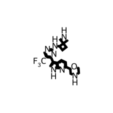 FC(F)(F)c1cnc(NC2CCC23CNC3)nc1-c1c[nH]c2nc(C3CNCCO3)ccc12